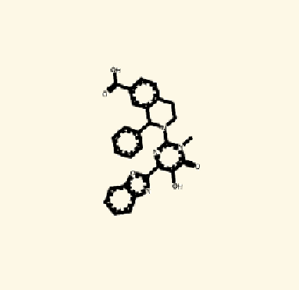 Cn1c(N2CCc3ccc(C(=O)O)cc3C2c2ccccc2)nc(-c2nc3ccccc3o2)c(O)c1=O